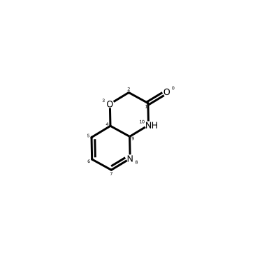 O=C1COC2C=CC=NC2N1